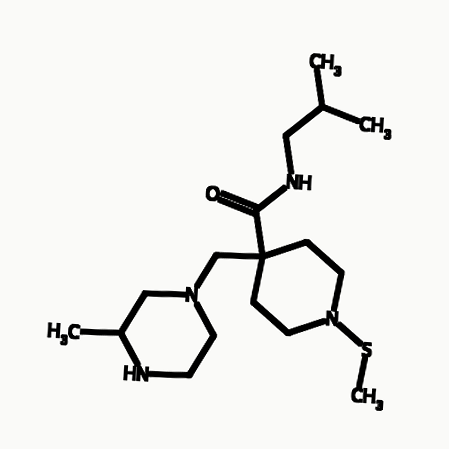 CSN1CCC(CN2CCNC(C)C2)(C(=O)NCC(C)C)CC1